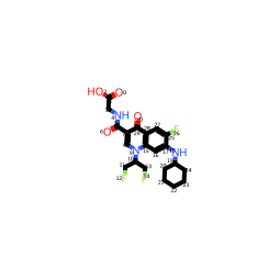 O=C(O)CNC(=O)c1cn(C(CF)CF)c2cc(NC3CCCCC3)c(F)cc2c1=O